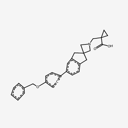 O=C(O)C1(CN2CC3(Cc4ccc(-c5ccc(OCc6ccccc6)cc5)cc4C3)C2)CC1